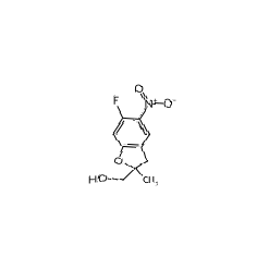 CC1(CO)Cc2cc([N+](=O)[O-])c(F)cc2O1